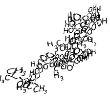 CC[C@H](C)CC[C@H](O)CC(=O)O[C@@H](C[C@H](O)CC(=O)O[C@@H]1C(C)O[C@@H](OC(=O)CCCC(C)(C)CC2C[C@H](O)C[C@]3(C)C2=CCC2[C@@]4(C)CC[C@H](O[C@@H]5OC(C(=O)O)[C@H](O)C(O[C@@H]6OC[C@@H](O)C(O)C6O)C5O[C@@H]5OC(CO)[C@H](O)C(O)C5O)[C@@](C)(C=O)C4CC[C@]23C)C(O[C@@H]2OC(C)[C@H](O[C@H]3OCC(O)[C@H](O[C@@H]4OCC(O)(CO)C4O)C3O)C(O)C2O)C1O)[C@@H](C)CC